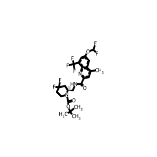 Cc1cc(C(=O)NC[C@@H]2CC(F)(F)CCN2C(=O)OC(C)(C)C)nc2c(C(F)(F)F)cc(OC(F)F)cc12